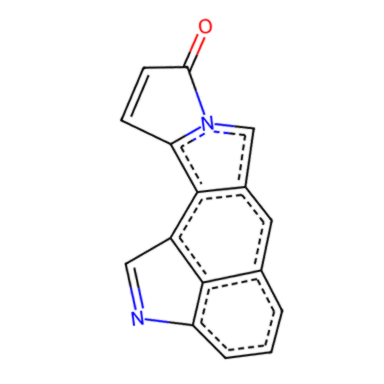 O=C1C=Cc2c3c4c5c(cccc5cc3cn21)N=C4